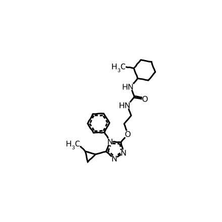 CC1CCCCC1NC(=O)NCCOc1nnc(C2CC2C)n1-c1ccccc1